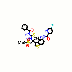 CNS(=O)(=O)CC(C)(NC(=S)NC(=O)c1ccccc1)c1csc2ccc(NC(=O)c3ccc(F)cn3)cc12